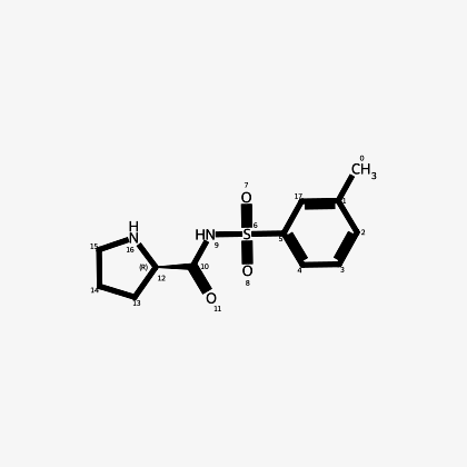 Cc1cccc(S(=O)(=O)NC(=O)[C@H]2CCCN2)c1